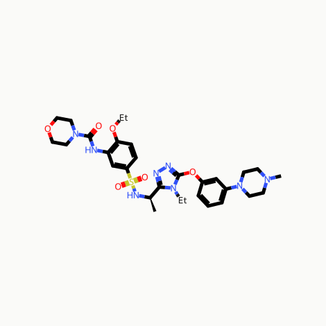 CCOc1ccc(S(=O)(=O)N[C@H](C)c2nnc(Oc3cccc(N4CCN(C)CC4)c3)n2CC)cc1NC(=O)N1CCOCC1